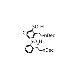 CCCCCCCCCCCCc1ccccc1S(=O)(=O)O.CCCCCCCCCCCCc1ccccc1S(=O)(=O)O.[Cu]